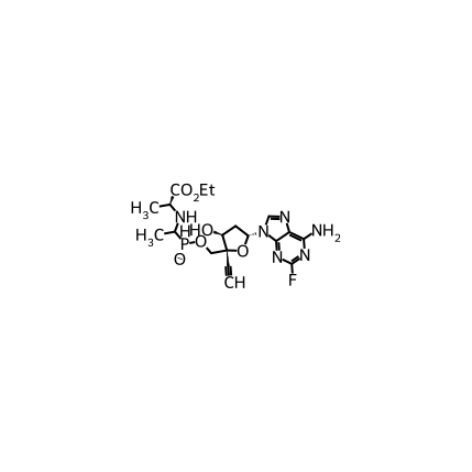 C#C[C@]1(CO[PH](=O)C(C)N[C@@H](C)C(=O)OCC)O[C@@H](n2cnc3c(N)nc(F)nc32)C[C@@H]1O